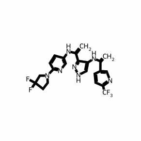 C=C(Nc1c[nH]nc1C(=C)Nc1ccc(N2CCC(F)(F)C2)nc1)c1ccc(C(F)(F)F)nc1